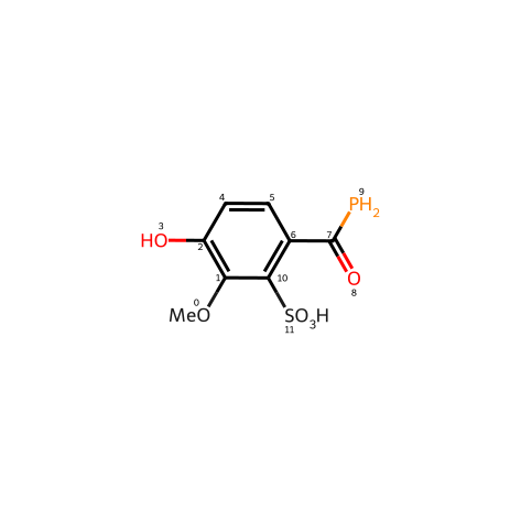 COc1c(O)ccc(C(=O)P)c1S(=O)(=O)O